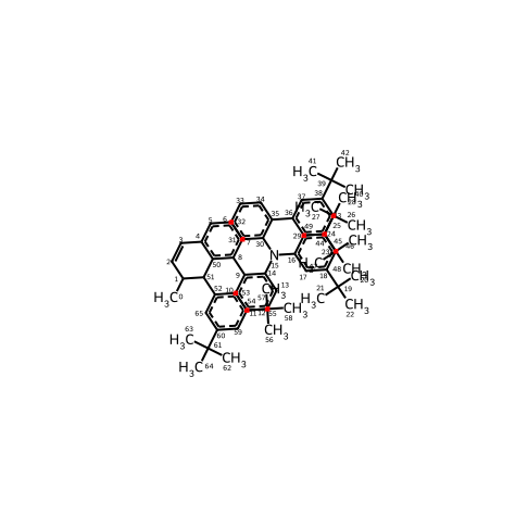 CC1C=Cc2cccc(-c3ccccc3N(c3cc(C(C)(C)C)cc(C(C)(C)C)c3)c3ccccc3-c3cc(C(C)(C)C)cc(C(C)(C)C)c3)c2C1c1cc(C(C)(C)C)cc(C(C)(C)C)c1